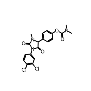 CN(C)C(=O)Oc1ccc(C2C(=O)N(c3ccc(Cl)c(Cl)c3)C(=O)N2C)cc1